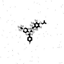 [2H]c1c([2H])c(C([2H])([2H])NC(=O)N(C2CCN(C([2H])([2H])[2H])CC2)C([2H])([2H])c2ccc(F)cc2)c([2H])c([2H])c1OCC(C)C